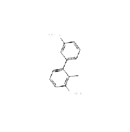 COc1cccc(-c2cccc(C=O)c2C)c1